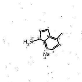 Cc1cccc2c1C=CC2[SiH3].[Na]